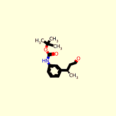 C[C@H](CC=O)c1cccc(NC(=O)OC(C)(C)C)c1